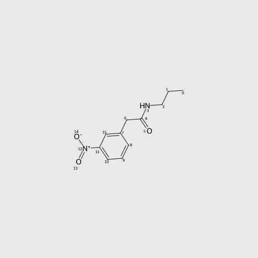 CCCNC(=O)Cc1cccc([N+](=O)[O-])c1